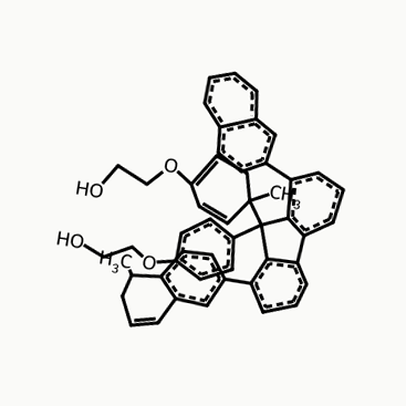 CC1CC=Cc2cc(-c3cccc4c3C(c3ccc(OCCO)cc3)(C3(C)C=CC(OCCO)=CC3)c3c(-c5ccc6ccccc6c5)cccc3-4)ccc21